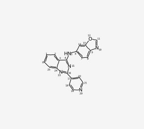 c1ccc2c(Nc3ccc4ncoc4c3)nc(-c3ccncc3)nc2c1